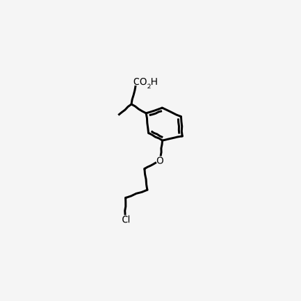 CC(C(=O)O)c1cccc(OCCCCl)c1